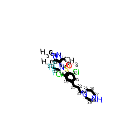 Cc1nn(C)c(C)c1N(CC(F)(F)F)[S+]([O-])C1=C(Cl)C=C(CCCN2CCCNCC2)CC1Cl